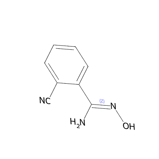 N#Cc1ccccc1/C(N)=N/O